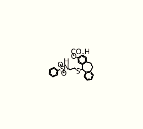 O=C(O)Oc1ccc2c(c1)C(SCCNS(=O)(=O)c1ccccc1)c1ccccc1CC2